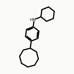 c1cc(C2CCCCCCC2)ccc1NC1CCCCC1